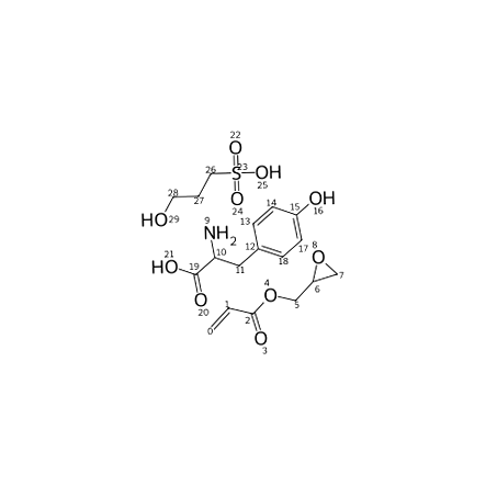 C=CC(=O)OCC1CO1.NC(Cc1ccc(O)cc1)C(=O)O.O=S(=O)(O)CCCO